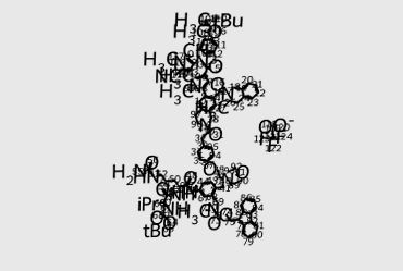 Cc1c(N(C(=O)c2cc(-c3cc4c(cc3C(=O)N3Cc5ccccc5C[C@H]3C)CN(C(=O)Cc3ccc(OCC[N+]5(Cc6ccc(NC(=O)[C@H](CCCNC(N)=O)NC(=O)[C@@H](NC(=O)OC(C)(C)C)C(C)C)cc6CN(C)C(=O)OCC6c7ccccc7-c7ccccc76)CCOCC5)cc3)CC4)n(C)c2C)c2ccc(O[Si](C)(C)C(C)(C)C)cc2)cc(C#N)n1C.O=C([O-])C(F)(F)F